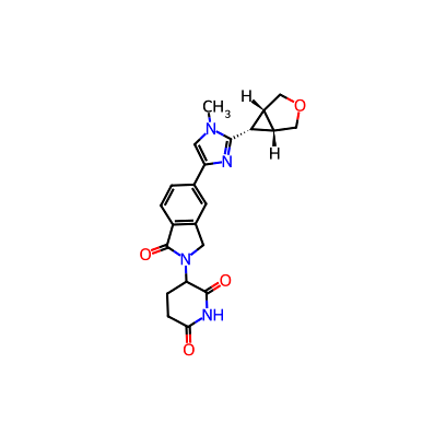 Cn1cc(-c2ccc3c(c2)CN(C2CCC(=O)NC2=O)C3=O)nc1[C@@H]1[C@@H]2COC[C@@H]21